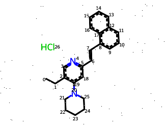 CCc1cnc(C=Cc2cccc3ccccc23)cc1N1CCCCC1.Cl